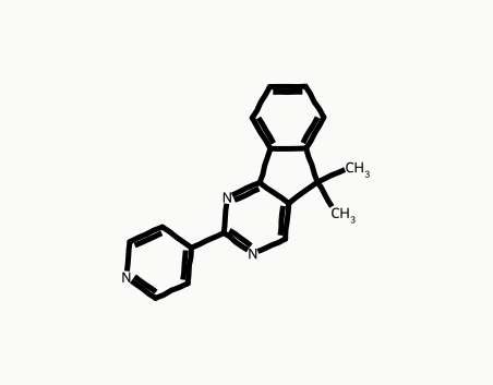 CC1(C)c2ccccc2-c2nc(-c3ccncc3)ncc21